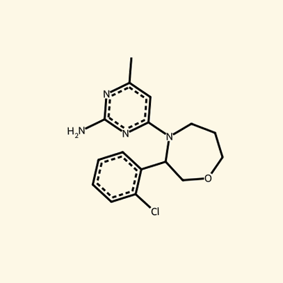 Cc1cc(N2CCCOCC2c2ccccc2Cl)nc(N)n1